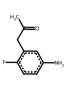 CC(=O)Cc1cc(N)ccc1F